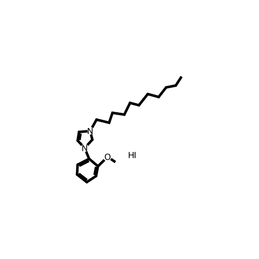 CCCCCCCCCCCN1C=CN(c2ccccc2OC)C1.I